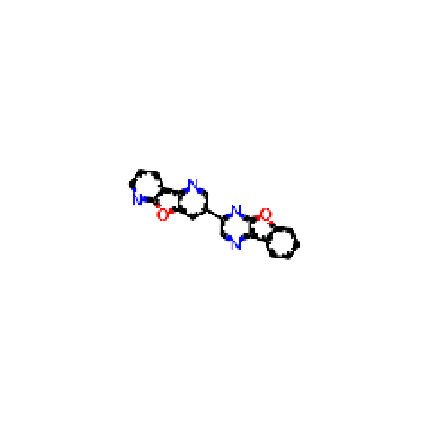 c1ccc2c(c1)oc1nc(-c3cnc4c(c3)oc3ncccc34)cnc12